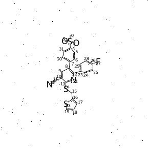 CS(=O)(=O)c1ccc(-c2cc(C#N)c(SCc3cccs3)nc2-c2ccc(F)cc2)cc1